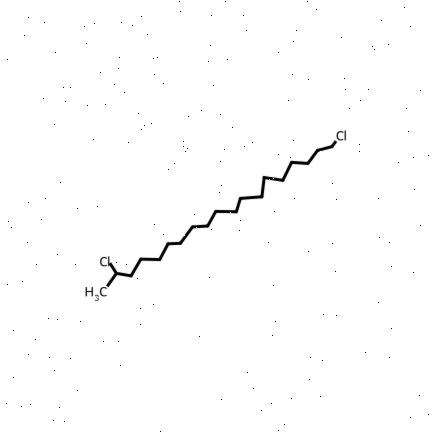 CC(Cl)CCCCCCCCCCCCCCCCCCl